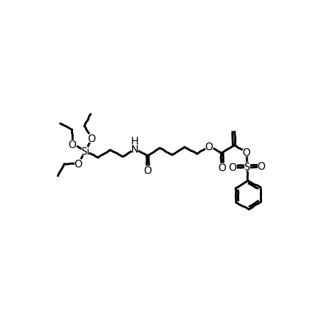 C=C(OS(=O)(=O)c1ccccc1)C(=O)OCCCCC(=O)NCCC[Si](OCC)(OCC)OCC